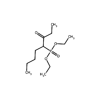 CCCCC(C(=O)CC)P(=O)(OCC)OCC